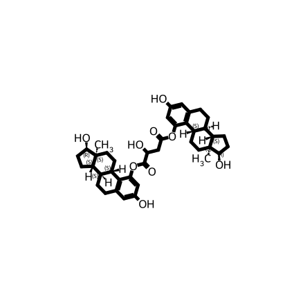 C[C@]12CC[C@@H]3c4c(cc(O)cc4OC(=O)CC(O)C(=O)Oc4cc(O)cc5c4[C@H]4CC[C@]6(C)[C@H](O)CC[C@H]6[C@@H]4CC5)CC[C@H]3[C@@H]1CC[C@H]2O